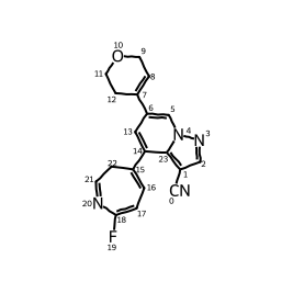 N#Cc1cnn2cc(C3=CCOCC3)cc(C3=CC=C(F)N=CC3)c12